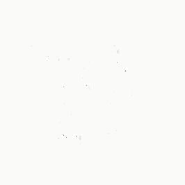 CCC1=Cc2c(CC)cc(O)cc2N(c2c(Cl)cc(C(F)(F)F)cc2Cl)C1Cc1cn[nH]c1